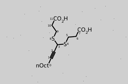 CCCCCCCCC#CC(SCCC(=O)O)SCCC(=O)O